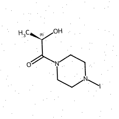 C[C@@H](O)C(=O)N1CCN(I)CC1